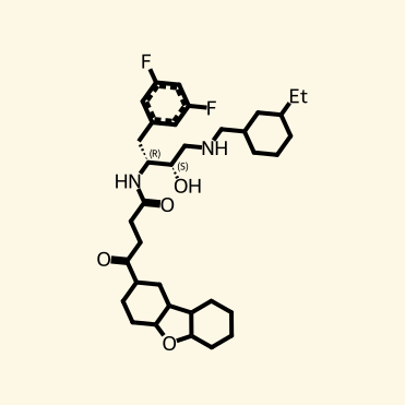 CCC1CCCC(CNC[C@H](O)[C@@H](Cc2cc(F)cc(F)c2)NC(=O)CCC(=O)C2CCC3OC4CCCCC4C3C2)C1